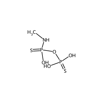 CNP(O)(=S)OP(O)(O)=S